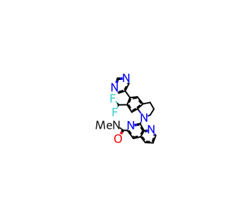 CNC(=O)c1cc2cccnc2c(N2CCCc3cc(-c4cncnc4)c(C(F)F)cc32)n1